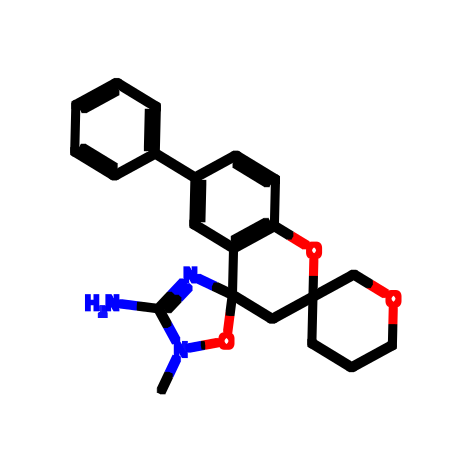 CN1OC2(CC3(CCCOC3)Oc3ccc(-c4ccccc4)cc32)N=C1N